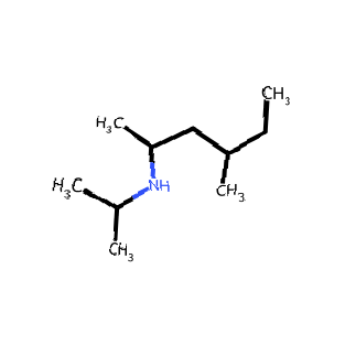 CCC(C)CC(C)NC(C)C